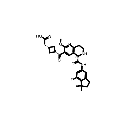 COc1nc2c(cc1C(=O)[C@H]1C[C@@H](CC(=O)O)C1)[C@H](C(=O)Nc1cc(F)c3c(c1)CCC3(C)C)NCC2